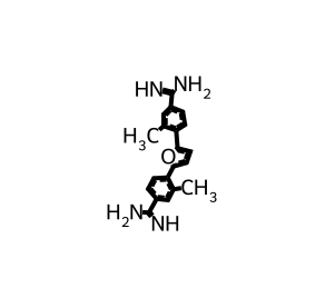 Cc1cc(C(=N)N)ccc1-c1ccc(-c2ccc(C(=N)N)cc2C)o1